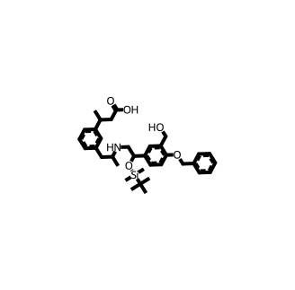 CC(Cc1cccc(C(C)CC(=O)O)c1)NCC(O[Si](C)(C)C(C)(C)C)c1ccc(OCc2ccccc2)c(CO)c1